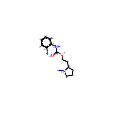 CN1CCCC1CCOC(=O)Nc1ccccc1I